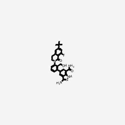 CC(C)(C)c1cc(F)c2c(c1)CCN(c1cccc(-c3cc(C(N)=O)c4[nH]nc(N)c4c3)c1CO)C2=O